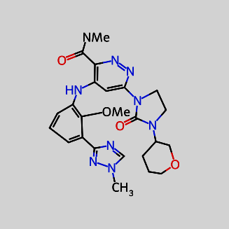 CNC(=O)c1nnc(N2CCN(C3CCCOC3)C2=O)cc1Nc1cccc(-c2ncn(C)n2)c1OC